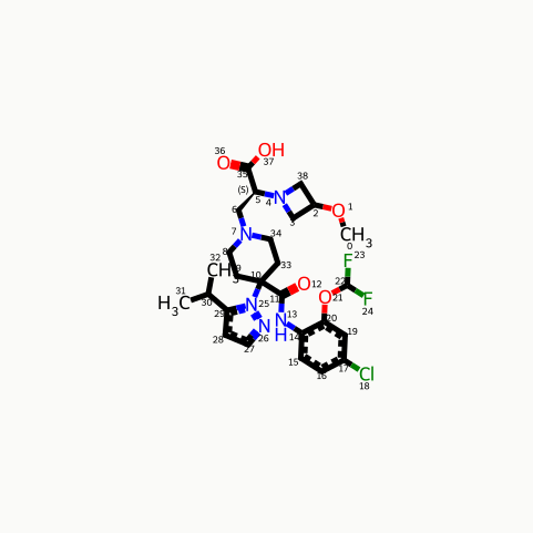 COC1CN([C@@H](CN2CCC(C(=O)Nc3ccc(Cl)cc3OC(F)F)(n3nccc3C(C)C)CC2)C(=O)O)C1